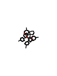 Cc1ccc(N(c2ccc(C)cc2)c2ccccc2C2(c3ccccc3N(c3ccc(C)cc3)c3ccc(C)cc3)C=CCCC2)cc1